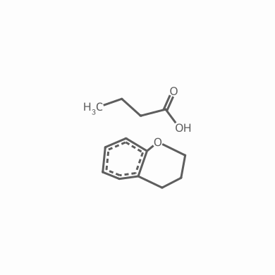 CCCC(=O)O.c1ccc2c(c1)CCCO2